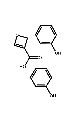 O=C(O)C1=COC1.Oc1ccccc1.Oc1ccccc1